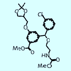 COC(=O)NCCOC(c1cccc(Cl)c1)c1cc(OCC2COC(C)(C)O2)cc(C(=O)OC)c1